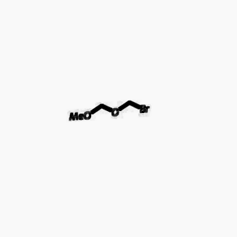 [CH2]OCOCBr